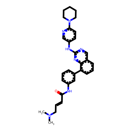 CN(C)CC=CC(=O)Nc1cccc(-c2cccc3cnc(Nc4ccc(N5CCCCC5)nc4)nc23)c1